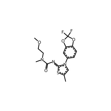 COCCN(C)C(=O)N=c1sc(C)cn1-c1ccc2c(c1)OC(F)(F)O2